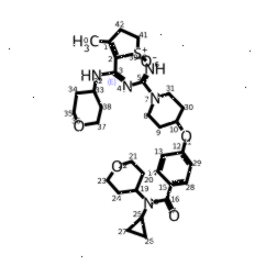 CC1=C(/C(=N\C(=N)N2CCC(Oc3ccc(C(=O)N(C4CCOCC4)C4CC4)cc3)CC2)NC2CCOCC2)[S+]([O-])CC1